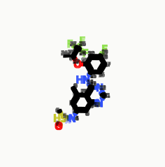 Cc1cc(/N=[SH](\C)=O)cc2ncnc(Nc3ccc(F)cc3O[C@@H](C)C(F)(F)F)c12